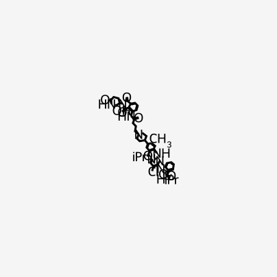 Cc1cc(Nc2ncc(Cl)c(Nc3ccccc3S(=O)(=O)C(C)C)n2)c(OC(C)C)cc1C1CCN(CCCC(=O)Nc2cccc3c2C(=O)N(C2CCC(=O)NC2O)C3=O)CC1